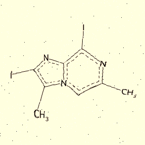 Cc1cn2c(C)c(I)nc2c(I)n1